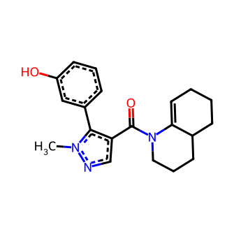 Cn1ncc(C(=O)N2CCCC3CCCC=C32)c1-c1cccc(O)c1